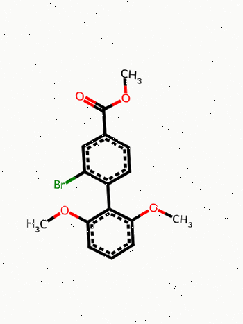 COC(=O)c1ccc(-c2c(OC)cccc2OC)c(Br)c1